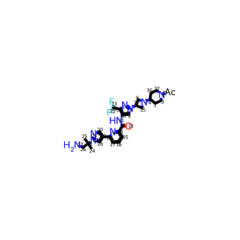 CC(=O)N1CCC(N2CC(n3cc(NC(=O)c4cccc(-c5cnn(C(C)(C)CN)c5)n4)c(C(F)F)n3)C2)CC1